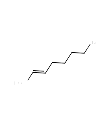 CCC(C)CCCCC=CC(=O)O